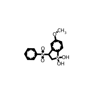 COc1ccc2c(c1)C(S(=O)(=O)c1ccccc1)CS2(O)O